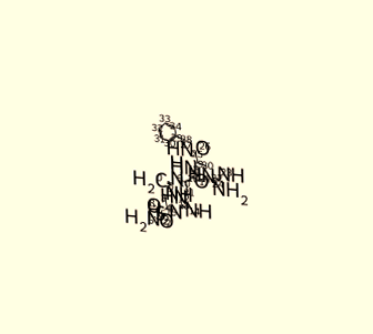 C=C(NCCS(N)(=O)=O)NC(CNC(=N)N)C(=O)NC(CNC(=N)N)C(=O)NCc1ccccc1